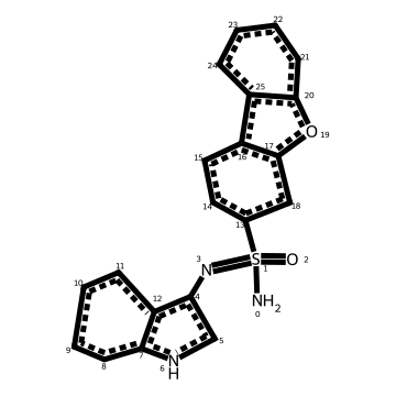 NS(=O)(=Nc1c[nH]c2ccccc12)c1ccc2c(c1)oc1ccccc12